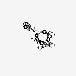 COC1=CC2=C3C(Oc4cc5c(cc4OC)CCN(C)[C@@H]5Cc4ccc(cc4)Oc4cc(ccc4OCCCNS(=O)(=O)c4cccc5c4OCCO5)C[C@@H]3N(C)CC2)C1OC